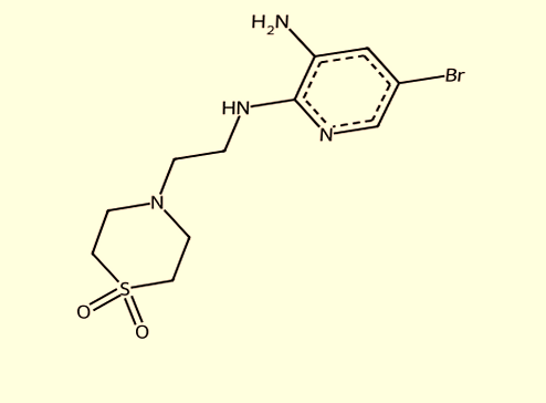 Nc1cc(Br)cnc1NCCN1CCS(=O)(=O)CC1